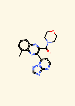 Cc1cccc2nc(C(=O)N3CCOCC3)c(-c3ccnc4ncnn34)nc12